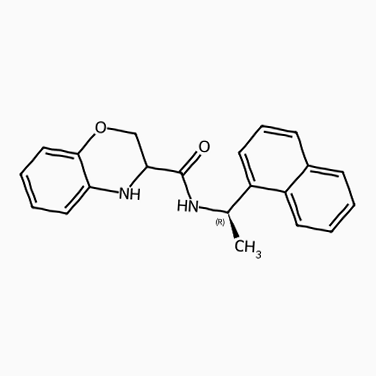 C[C@@H](NC(=O)C1COc2ccccc2N1)c1cccc2ccccc12